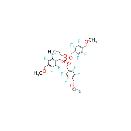 CCC[O][Zr]([O]Cc1c(F)c(F)c(COC)c(F)c1F)([O]Cc1c(F)c(F)c(COC)c(F)c1F)[O]Cc1c(F)c(F)c(COC)c(F)c1F